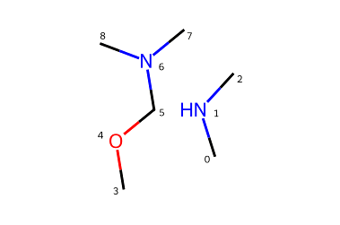 CNC.COCN(C)C